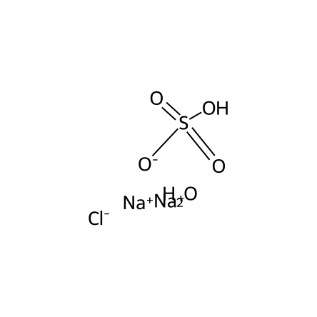 O.O=S(=O)([O-])O.[Cl-].[Na+].[Na+]